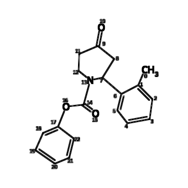 Cc1ccccc1C1CC(=O)CCN1C(=O)Oc1ccccc1